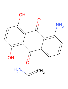 C=CN.Nc1cccc2c1C(=O)c1c(O)ccc(O)c1C2=O